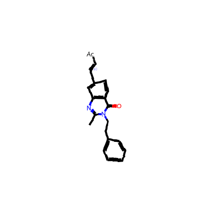 CC(=O)/C=C/c1ccc2c(=O)n(CCc3ccccc3)c(C)nc2c1